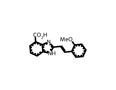 COc1ccccc1/C=C/c1nc2c(C(=O)O)cccc2[nH]1